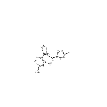 Oc1ccc(-c2n[nH]cc2Oc2ccc(F)cc2)c(O)c1